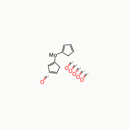 C1=CC[C]([Mo][C]2=CC=CC2)=C1.[C]=O.[C]=O.[C]=O.[C]=O.[C]=O.[C]=O